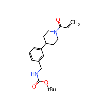 C=CC(=O)N1CCC(c2cccc(CNC(=O)OC(C)(C)C)c2)CC1